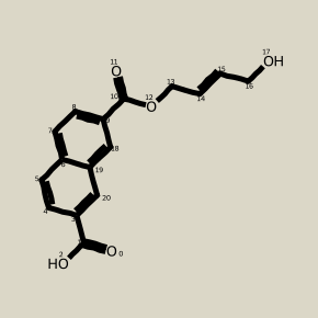 O=C(O)c1ccc2ccc(C(=O)OCC=CCO)cc2c1